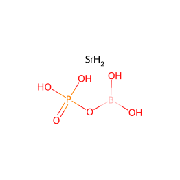 O=P(O)(O)OB(O)O.[SrH2]